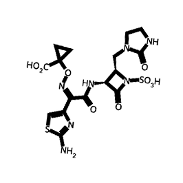 Nc1nc(/C(=N/OC2(C(=O)O)CC2)C(=O)N[C@@H]2C(=O)N(S(=O)(=O)O)[C@@H]2CN2CCNC2=O)cs1